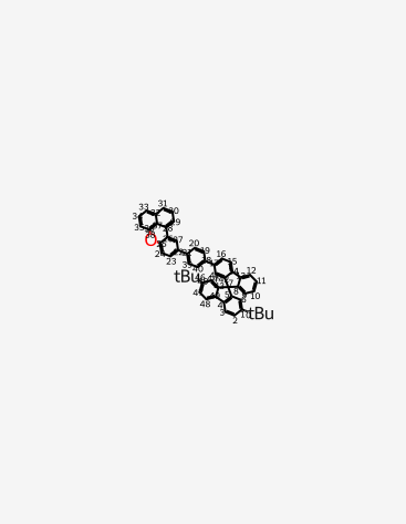 CC(C)(C)c1ccc2c(c1)C1(c3ccccc3-c3ccc(-c4ccc(-c5ccc6c(c5)-c5cccc7cccc(c57)O6)cc4)cc31)c1cc(C(C)(C)C)ccc1-2